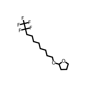 FC(F)(F)C(F)(F)CCCCCCCCOC1CCCO1